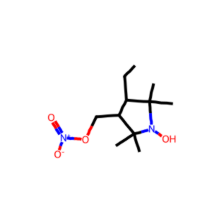 CCC1C(CO[N+](=O)[O-])C(C)(C)N(O)C1(C)C